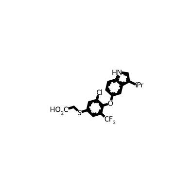 CC(C)c1c[nH]c2ccc(Oc3c(Cl)cc(SCC(=O)O)cc3C(F)(F)F)cc12